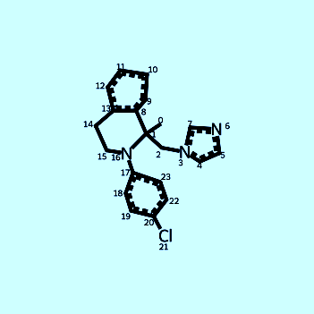 CC1(Cn2ccnc2)c2ccccc2CCN1c1ccc(Cl)cc1